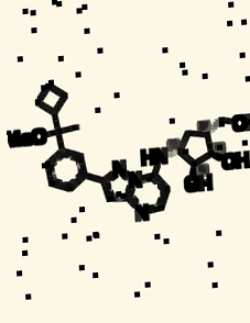 COC(C)(c1cccc(-c2cc3nccc(N[C@@H]4C[C@H](CO)[C@@H](O)[C@H]4O)n3n2)c1)C1CCC1